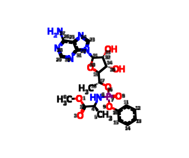 COC(=O)[C@H](C)NP(=O)(Oc1ccccc1)O[C@H](C)[C@H]1O[C@@H](n2cnc3c(N)ncnc32)[C@H](O)[C@@H]1O